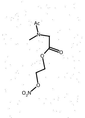 CC(=O)N(C)CC(=O)OCCO[N+](=O)[O-]